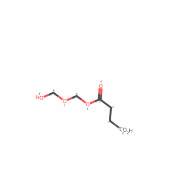 O=C(O)CCC(=O)OCOCO